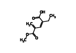 C=C(C=C(CC)C(=O)O)C(=O)OC